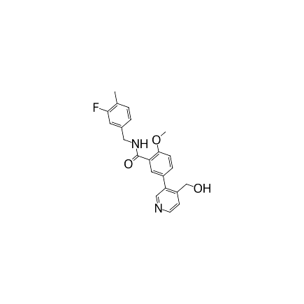 COc1ccc(-c2cnccc2CO)cc1C(=O)NCc1ccc(C)c(F)c1